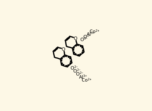 C1=COc2ccccc2C1.C1=COc2ccccc2C1.[Al+3].[Al+3].[Co+2].[Co+2].[O-2].[O-2].[O-2].[O-2].[O-2]